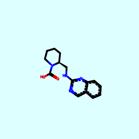 O=C(O)N1CCCC[C@H]1CNc1ncc2ccccc2n1